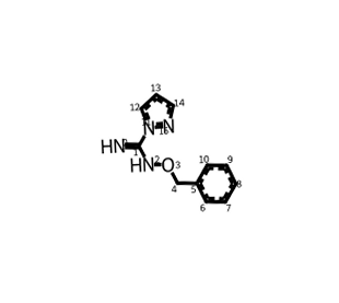 N=C(NOCc1ccccc1)n1cccn1